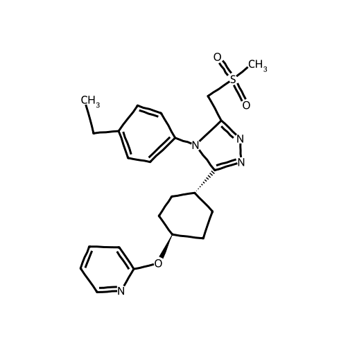 CCc1ccc(-n2c(CS(C)(=O)=O)nnc2[C@H]2CC[C@H](Oc3ccccn3)CC2)cc1